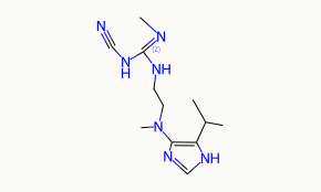 C/N=C(\NC#N)NCCN(C)c1nc[nH]c1C(C)C